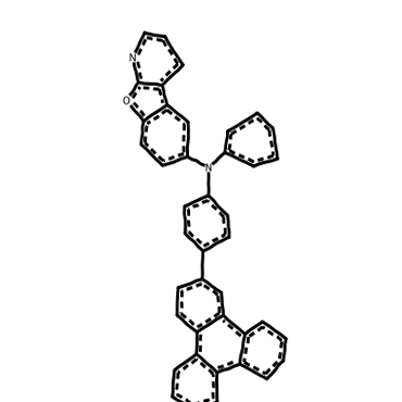 c1ccc(N(c2ccc(-c3ccc4c5ccccc5c5ccccc5c4c3)cc2)c2ccc3oc4ncccc4c3c2)cc1